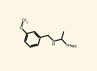 CCCCCCCC(C)NCc1cccc(OC(F)(F)F)c1